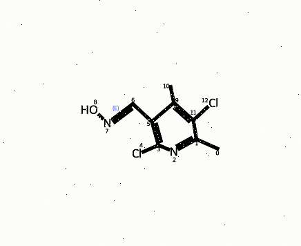 Cc1nc(Cl)c(/C=N/O)c(C)c1Cl